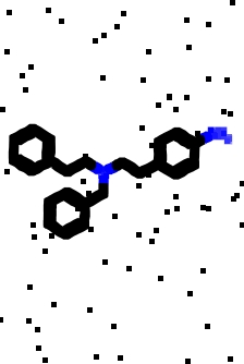 Nc1ccc(CCN(CCc2ccccc2)Cc2ccccc2)cc1